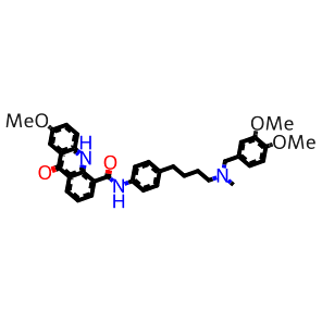 COc1ccc2[nH]c3c(C(=O)Nc4ccc(CCCCN(C)Cc5ccc(OC)c(OC)c5)cc4)cccc3c(=O)c2c1